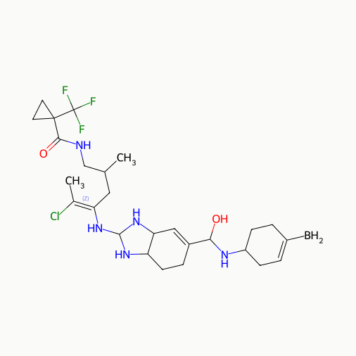 BC1=CCC(NC(O)C2=CC3NC(N/C(CC(C)CNC(=O)C4(C(F)(F)F)CC4)=C(/C)Cl)NC3CC2)CC1